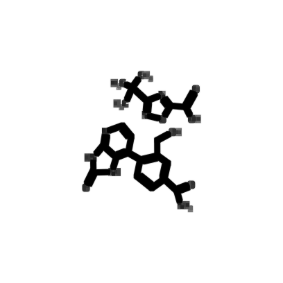 CC(C)(C)c1noc(C(=O)O)n1.NC(=O)c1ccc(-c2ccnc3[nH]c(=O)[nH]c23)c(CO)c1